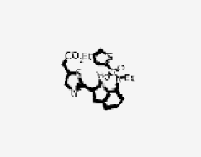 CCOC(=O)CC1CN=C(C2Cc3cccc(N(CC)S(=O)(=O)c4cccs4)c3N2)S1